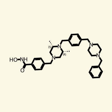 C[C@@H]1CN(Cc2ccc(C(=O)NO)cc2)C[C@H](C)N1Cc1ccc(CN2CCN(Cc3ccccc3)CC2)cc1